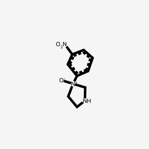 O=[N+]([O-])c1cccc([N+]2([O-])CCNC2)c1